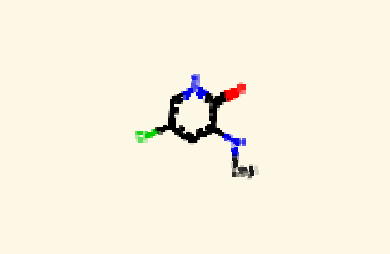 O=C(O)Nc1cc(Cl)c[nH]c1=O